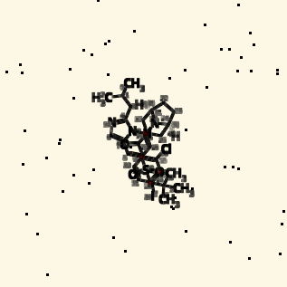 CC(C)Cc1ncc2cc(S(=O)(=O)CC(C)(C)C)cc(N3[C@@H]4CC[C@H]3CN(C(=O)c3ccc(F)cc3Cl)C4)n12